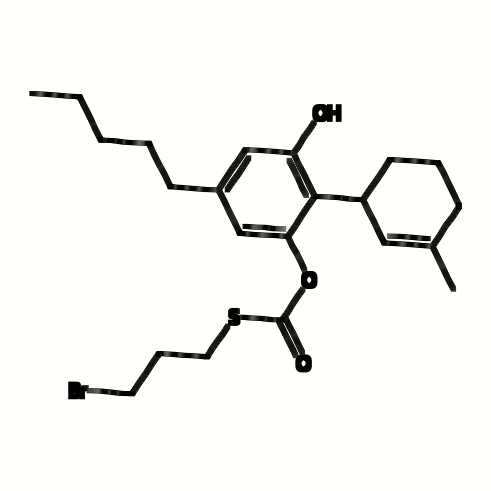 CCCCCc1cc(O)c(C2C=C(C)CCC2)c(OC(=O)SCCCBr)c1